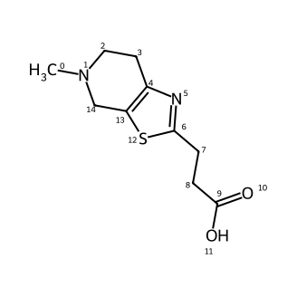 CN1CCc2nc(CCC(=O)O)sc2C1